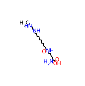 CCNCCNCCCCCCCCCCC(=O)NCCCC[C@H](N)C(=O)O